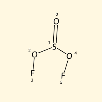 O=S(OF)OF